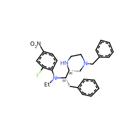 CCN(c1ccc([N+](=O)[O-])cc1F)[C@@H](Cc1ccccc1)[C@H]1CN(Cc2ccccc2)CCN1